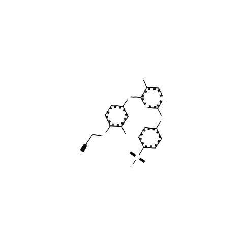 Cc1cnc(Nc2ccc(S(N)(=O)=O)cc2)nc1Sc1ccc(OCC#N)c(Cl)c1